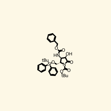 CC(C)(C)OC(=O)N1C(=O)[C@H](O)[C@H](NC(=O)OCc2ccccc2)[C@H]1CO[Si](c1ccccc1)(c1ccccc1)C(C)(C)C